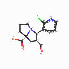 O=C(O)[C@]12CCCN1[C@@H](c1cccnc1Cl)[C@@H](CO)C2